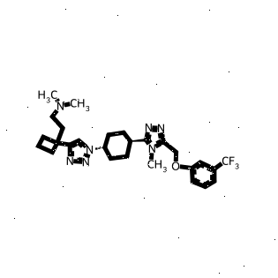 CN(C)CCC1(c2cn([C@H]3CC[C@H](c4nnc(COc5cccc(C(F)(F)F)c5)n4C)CC3)nn2)CCC1